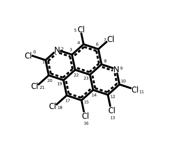 Clc1nc2c(Cl)c(Cl)c3nc(Cl)c(Cl)c4c(Cl)c(Cl)c(c1Cl)c2c34